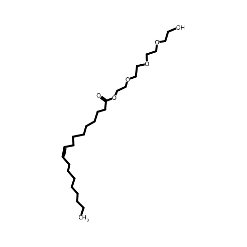 CCCCCCCC/C=C\CCCCCCCC(=O)OCCOCCOCCOCCO